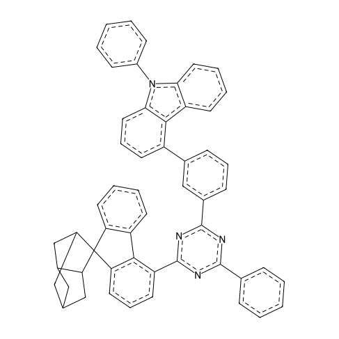 c1ccc(-c2nc(-c3cccc(-c4cccc5c4c4ccccc4n5-c4ccccc4)c3)nc(-c3cccc4c3-c3ccccc3C43C4CC5CC(C4)C3C5)n2)cc1